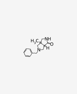 C[C@]12CNC(=O)[C@H]1CN(Cc1ccccc1)C2